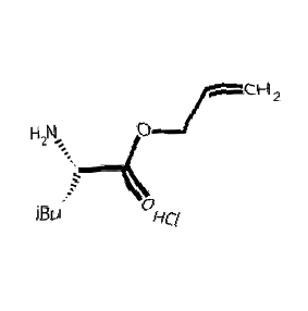 C=CCOC(=O)[C@@H](N)[C@@H](C)CC.Cl